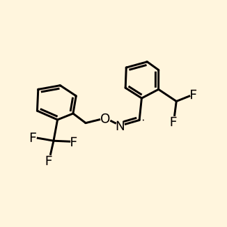 FC(F)c1ccccc1/[C]=N\OCc1ccccc1C(F)(F)F